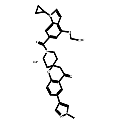 Cn1cc(-c2ccc3c(c2)C(=O)CC2(CCN(C(=O)c4cc(OCC(=O)[O-])c5ccn(C6CC6)c5c4)CC2)O3)cn1.[Na+]